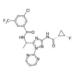 CC(NC(=O)c1cc(Cl)cc(C(F)(F)F)c1)c1nc(NC(=O)[C@@H]2C[C@@H]2F)nn1-c1ncccn1